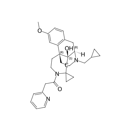 COc1ccc2c(c1)[C@]13CCN(CC4CC4)[C@H](C2)[C@]1(O)CC1(CC1)N(C(=O)Cc1ccccn1)CC3